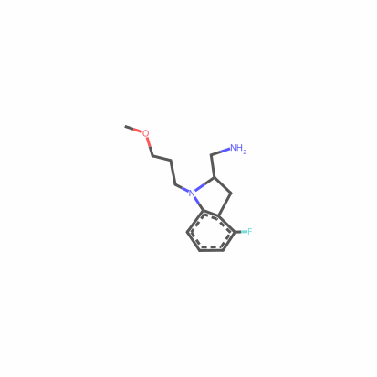 COCCCN1c2cccc(F)c2CC1CN